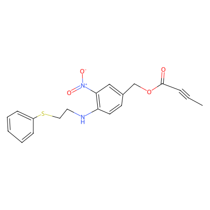 CC#CC(=O)OCc1ccc(NCCSc2ccccc2)c([N+](=O)[O-])c1